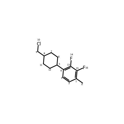 Cc1ccc(C2CCC(CCl)CC2)c(F)c1F